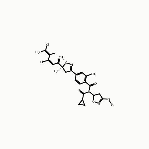 C=C(/C=C(Cl)\C(F)=C(/C)Cl)[C@]1(C(F)(F)F)CC(c2ccc(C(=O)N(C(=O)C3CC3)C3CC(OCC)=NO3)c(C)c2)=NO1